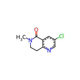 CN1CCc2ncc(Cl)cc2C1=O